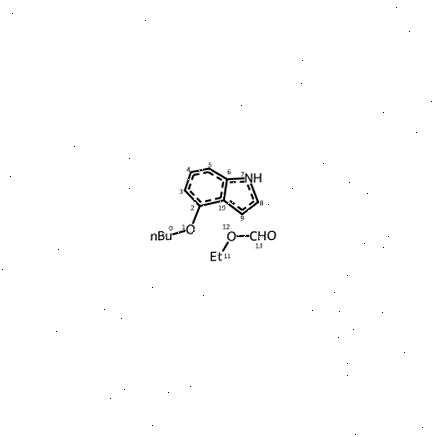 CCCCOc1cccc2[nH]ccc12.CCOC=O